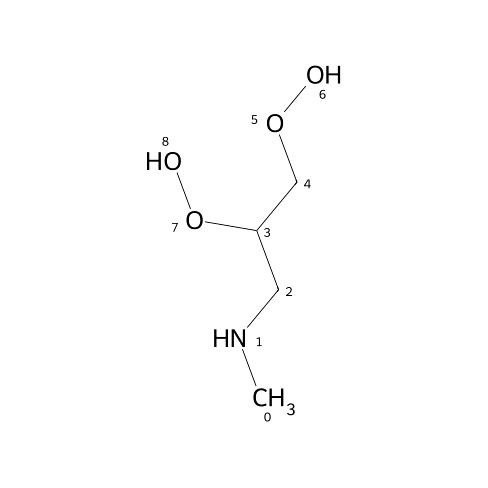 CNCC(COO)OO